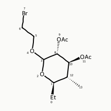 CC[C@H]1OC(OCCBr)[C@H](OC(C)=O)[C@@H](OC(C)=O)[C@@H]1C